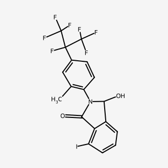 Cc1cc(C(F)(C(F)(F)F)C(F)(F)F)ccc1N1C(=O)c2c(I)cccc2C1O